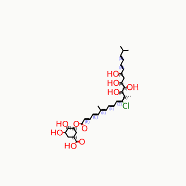 CC(/C=C/C=C/C(=O)O[C@@H]1C[C@@H](C(=O)O)CC(O)[C@@H]1O)=C\C=C\C=C(/Cl)[C@@H](C)[C@@H](O)[C@H](O)[C@H](O)C[C@@H](O)/C=C/C=C/C(C)C